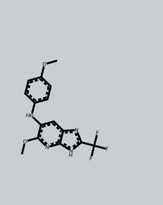 COc1ccc(Nc2cc3nc(C(F)(F)F)[nH]c3nc2OC)cc1